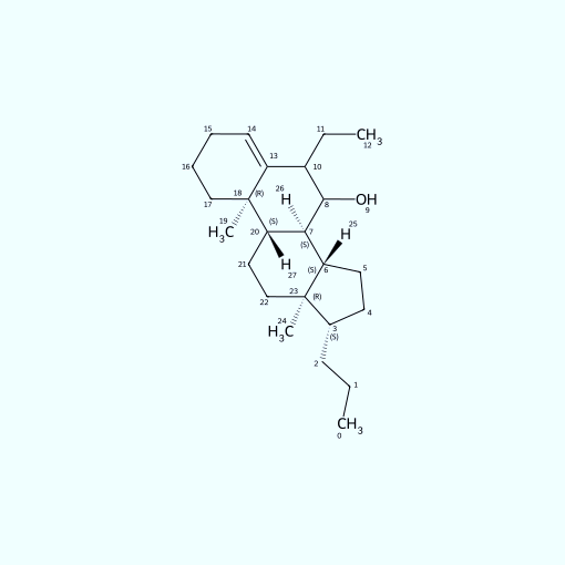 CCC[C@H]1CC[C@H]2[C@@H]3C(O)C(CC)C4=CCCC[C@]4(C)[C@H]3CC[C@]12C